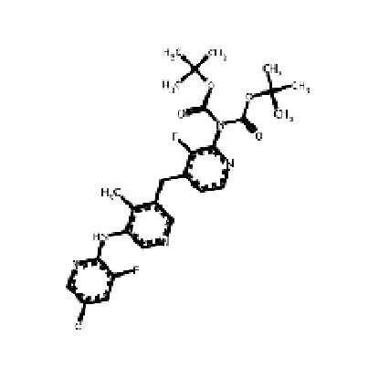 Cc1c(Cc2ccnc(N(C(=O)OC(C)(C)C)C(=O)OC(C)(C)C)c2F)cncc1Nc1ncc(Cl)cc1F